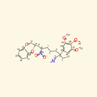 CCC(C#N)(CCCC(CC1COc2ccccc2O1)[N+](=O)[O-])c1cc(OC)c(OC)c(OC)c1